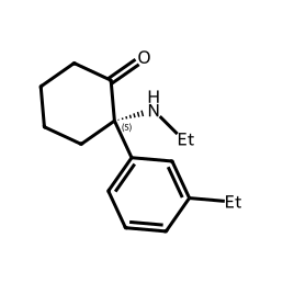 CCN[C@]1(c2cccc(CC)c2)CCCCC1=O